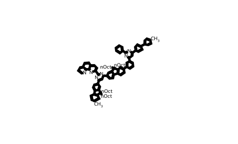 CCCCCCCCC1(CCCCCCCC)c2cc(C)ccc2-c2ccc(-c3cc(-c4ccc5c(c4)C(CCCCCCCC)(CCCCCCCC)c4cc(-c6cccc(-c7cc(-c8ccc(-c9ccc(C)cc9)cc8)nc(-c8ccccc8)n7)c6)ccc4-5)nc(-c4ccc5ccc6cccnc6c5n4)n3)cc21